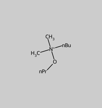 CCCC[N+](C)(C)OCCC